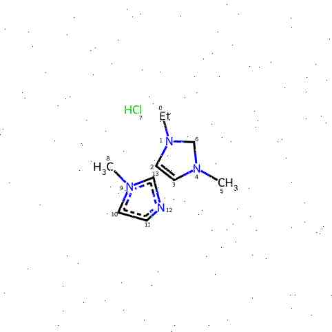 CCN1C=CN(C)C1.Cl.Cn1ccnc1